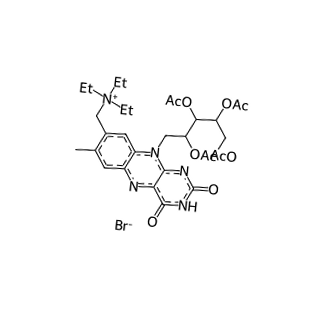 CC[N+](CC)(CC)Cc1cc2c(cc1C)nc1c(=O)[nH]c(=O)nc-1n2CC(OC(C)=O)C(OC(C)=O)C(COC(C)=O)OC(C)=O.[Br-]